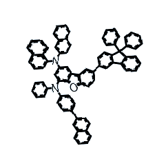 c1ccc(N(c2ccc(-c3ccc4ccccc4c3)cc2)c2cc(N(c3ccc4ccccc4c3)c3cccc4ccccc34)cc3c2oc2ccc(-c4ccc5c(c4)-c4ccccc4C5(c4ccccc4)c4ccccc4)cc23)cc1